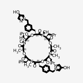 CC(C)C[C@H]1C(=O)O[C@H](Cc2cccc(Cn3cc(O)cn3)c2)C(=O)N(C)[C@@H](CC(C)C)C(=O)O[C@H](C)C(=O)N(C)[C@@H](CC(C)C)C(=O)O[C@H](Cc2ccc(Cn3cc(O)cn3)cc2)C(=O)N(C)[C@@H](CC(C)C)C(=O)O[C@H](C)C(=O)N1C